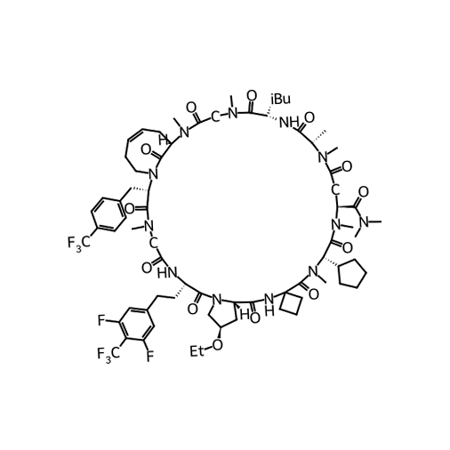 CCO[C@@H]1C[C@H]2C(=O)NC3(CCC3)C(=O)N(C)[C@@H](C3CCCC3)C(=O)N(C)[C@H](C(=O)N(C)C)CC(=O)N(C)[C@@H](C)C(=O)N[C@@H]([C@@H](C)CC)C(=O)N(C)CC(=O)N(C)[C@H]3C/C=C\CCN(C3=O)[C@@H](Cc3ccc(C(F)(F)F)cc3)C(=O)N(C)CC(=O)N[C@@H](CCc3cc(F)c(C(F)(F)F)c(F)c3)C(=O)N2C1